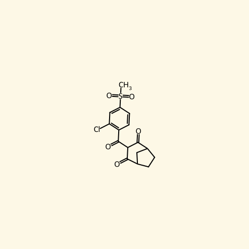 CS(=O)(=O)c1ccc(C(=O)C2C(=O)C3CCC(C3)C2=O)c(Cl)c1